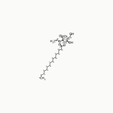 CCCCCCCCCCCCCCCC(=O)O[C@@H]([C@H](O)[C@H](O)CO)[C@H](C=O)OCC